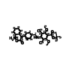 COc1c(Cl)c(NCc2ccc(N(C(=O)O)c3ccccc3N)nc2)c(Cl)c(OC)c1C(=O)OC(C)(C)C